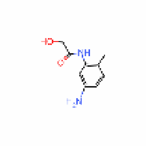 Cc1ccc(N)cc1NC(=O)CO